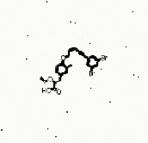 CCO[C@@H](Cc1ccc(OC/C=C\C#Cc2cc(Br)cc(Br)c2)c(I)c1)C(=O)O